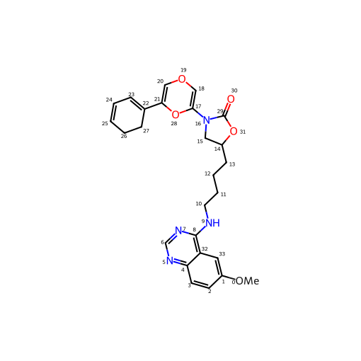 COc1ccc2ncnc(NCCCCC3CN(C4=COC=C(C5=CC=CCC5)O4)C(=O)O3)c2c1